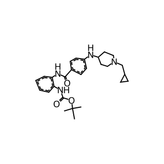 CC(C)(C)OC(=O)Nc1ccccc1NC(=O)c1ccc(NC2CCN(CC3CC3)CC2)cc1